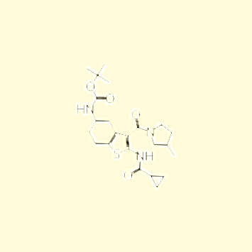 CC1CCN(C(=O)c2c(NC(=O)C3CC3)sc3c2CC(NC(=O)OC(C)(C)C)CC3)C1